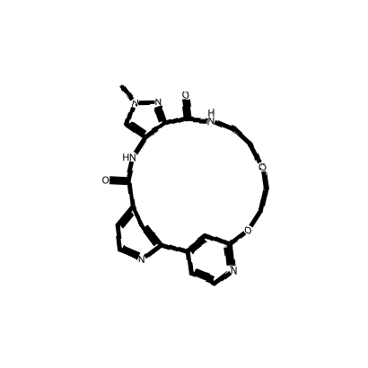 Cn1cc2c(n1)C(=O)NCCOCCOc1cc(ccn1)-c1cc(ccn1)C(=O)N2